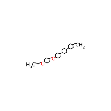 C=CC1CCC(C2CCC(C3CCC(OCC4CCC(OCCCC)CC4)CC3)CC2)CC1